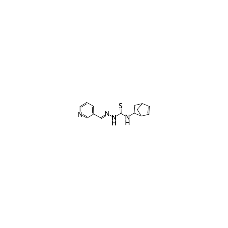 S=C(NN=Cc1cccnc1)NC1CC2C=CC1C2